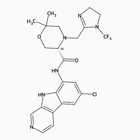 CC1(C)CN(CC2=NCCN2C(F)(F)F)[C@H](C(=O)Nc2cc(Cl)cc3c2[nH]c2cnccc23)CO1